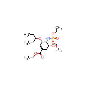 CCOC(=O)C1=C[C@@H](OC(CC)CC)[C@H](NP(=O)(OCC)OCC)[C@H](O)C1